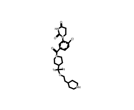 [2H]C([2H])(OCCC1CCNCC1)C1CCN(C(=O)c2ccc(Cl)c(N3CCC(=O)NC3=O)c2)CC1